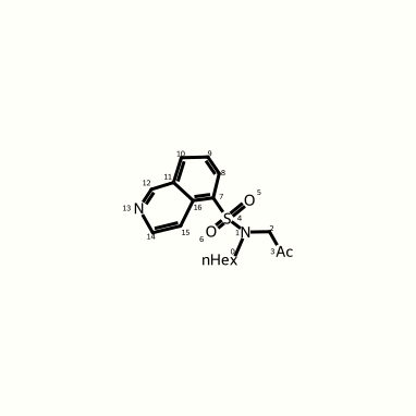 CCCCCCN(CC(C)=O)S(=O)(=O)c1cccc2cnccc12